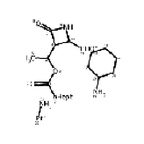 CCCCCCCC(=O)OC(C)C1C(=O)NC1C(=O)[O-].NC1CCCCC1.[NH2][Pt+]